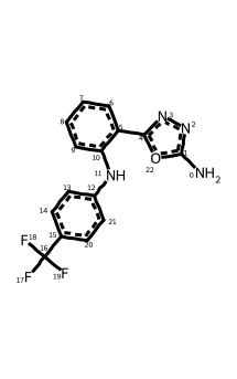 Nc1nnc(-c2ccccc2Nc2ccc(C(F)(F)F)cc2)o1